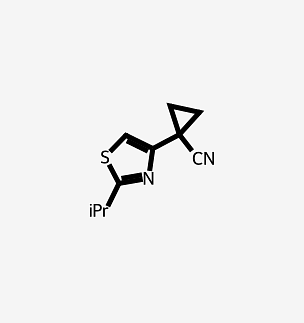 CC(C)c1nc(C2(C#N)CC2)cs1